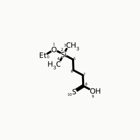 CCO[Si](C)(C)CCCC(O)=S